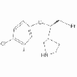 CC(C)C[C@H](Oc1ccc(Cl)c(F)c1)C1CCNC1